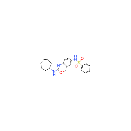 O=S(=O)(Nc1ccc2c(c1)COC(NC1CCCCCC1)=N2)c1ccccc1